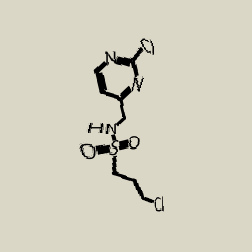 O=S(=O)(CCCCl)NCc1ccnc(Cl)n1